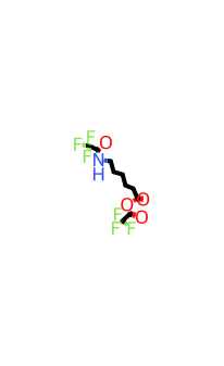 O=C(CCCCCNC(=O)C(F)(F)F)OC(=O)C(F)(F)F